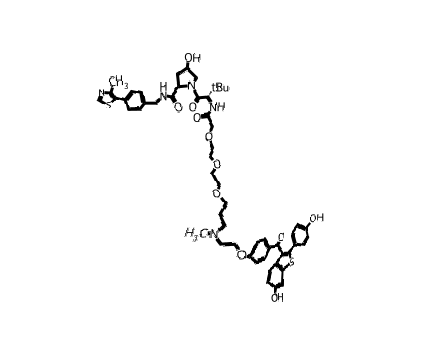 Cc1ncsc1-c1ccc(CNC(=O)C2CC(O)CN2C(=O)[C@@H](NC(=O)COCCOCCOCCCN(C)CCOc2ccc(C(=O)c3c(-c4ccc(O)cc4)sc4cc(O)ccc34)cc2)C(C)(C)C)cc1